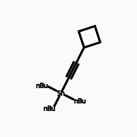 CCC[CH2][Sn]([C]#CC1CCC1)([CH2]CCC)[CH2]CCC